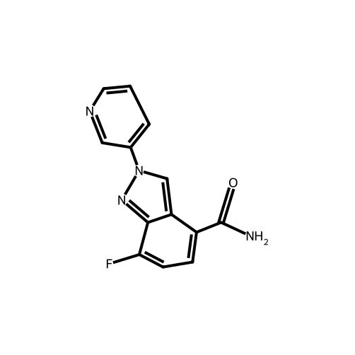 NC(=O)c1ccc(F)c2nn(-c3cccnc3)cc12